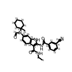 CCNC(=O)c1c(NC(=O)c2cccc(C#N)c2)[nH]c2cc(N(C=O)C3(C)CCCCC3)ccc12